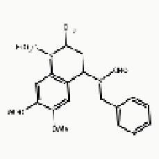 CCOC(=O)N1c2cc(OC)c(OC)cc2C(N(C=O)Cc2ccccc2)CC1C